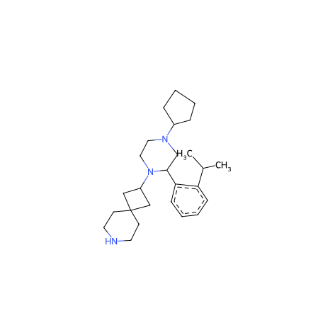 CC(C)c1ccccc1C1CN(C2CCCC2)CCN1C1CC2(CCNCC2)C1